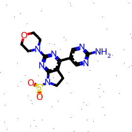 Nc1ncc(-c2nc(N3CCOCC3)nc3c2CCN3[SH](=O)=O)cn1